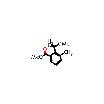 C=C(OC)c1c(C)cccc1C(=O)OC